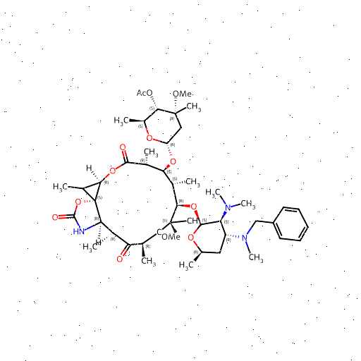 CO[C@]1(C)C[C@H](O[C@H]2[C@H](C)[C@@H](O[C@@H]3O[C@H](C)C[C@@H](N(C)Cc4ccccc4)[C@@H]3N(C)C)[C@@](C)(OC)C[C@@H](C)C(=O)[C@H](C)[C@H]3NC(=O)O[C@@]34C(C)[C@H]4OC(=O)[C@@H]2C)O[C@@H](C)[C@@H]1OC(C)=O